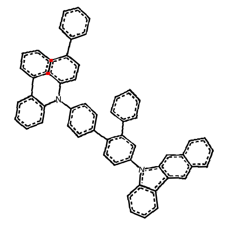 c1ccc(-c2ccc(N(c3ccc(-c4ccc(-n5c6ccccc6c6cc7ccccc7cc65)cc4-c4ccccc4)cc3)c3ccccc3-c3ccccc3)cc2)cc1